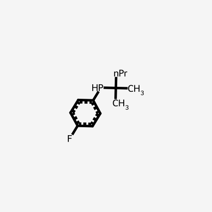 CCCC(C)(C)Pc1ccc(F)cc1